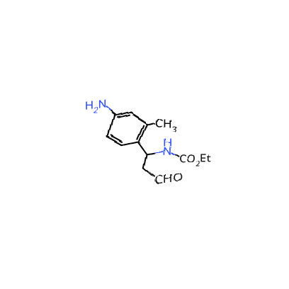 CCOC(=O)NC(CC=O)c1ccc(N)cc1C